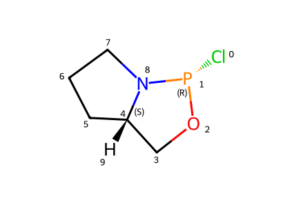 Cl[P@]1OC[C@@H]2CCCN21